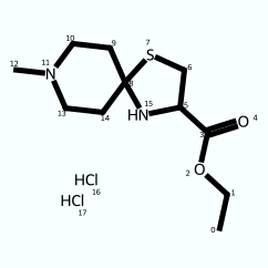 CCOC(=O)C1CSC2(CCN(C)CC2)N1.Cl.Cl